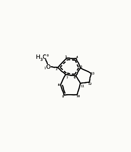 COc1ccc2c3c1C=CCC3CC2